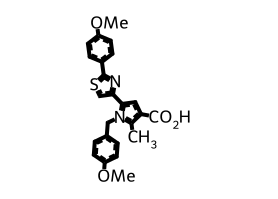 COc1ccc(Cn2c(-c3csc(-c4ccc(OC)cc4)n3)cc(C(=O)O)c2C)cc1